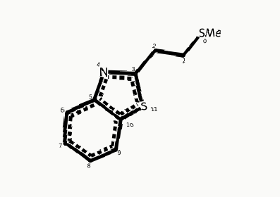 CSCCc1nc2ccccc2s1